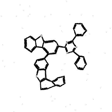 c1ccc(-c2nc(-c3ccccc3)nc(-c3cc(-c4ccc5sc6ccc7ccccc7c6c5c4)c4c(c3)oc3ccccc34)n2)cc1